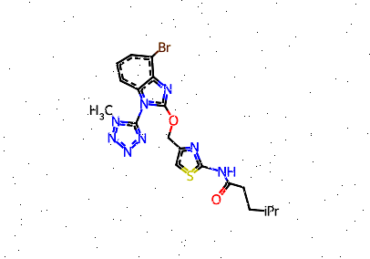 CC(C)CCC(=O)Nc1nc(COc2nc3c(Br)cccc3n2-c2nnnn2C)cs1